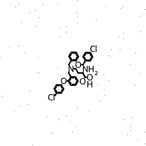 NC(CCN(Cc1ccccc1OCc1ccc(Cl)cc1)Cc1ccccc1Oc1ccc(Cl)cc1)C(=O)O